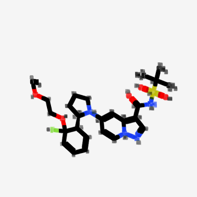 COCCOC1(F)C=CC=CC1[C@H]1CCCN1c1ccn2ncc(C(=O)NS(=O)(=O)C(C)(C)C)c2c1